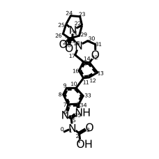 CN(C(=O)O)c1nc2ccc(-c3ccc4c(c3)CN(C(=O)N3C5CCC3CC(=O)C5)CCO4)cc2[nH]1